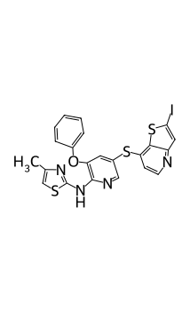 Cc1csc(Nc2ncc(Sc3ccnc4cc(I)sc34)cc2Oc2ccccc2)n1